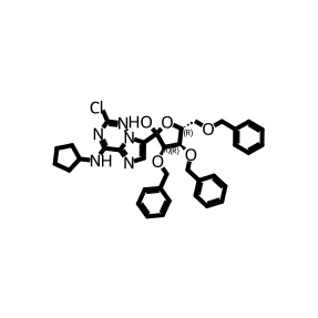 OC1(c2cnc3c(NC4CCCC4)nc(Cl)nn23)O[C@H](COCc2ccccc2)[C@@H](OCc2ccccc2)[C@H]1OCc1ccccc1